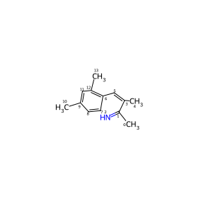 CC(=N)/C(C)=C\c1ccc(C)cc1C